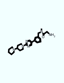 CN(Cc1cccc(-c2cnc(N3CCC(N4CCCCC4)CC3)nc2)c1)C(=O)CN